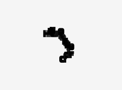 O=C(CCc1ccc(Cl)cc1F)N1CCN(C2CCN(C(=O)c3ccc4[nH]nnc4c3)CC2)CC1